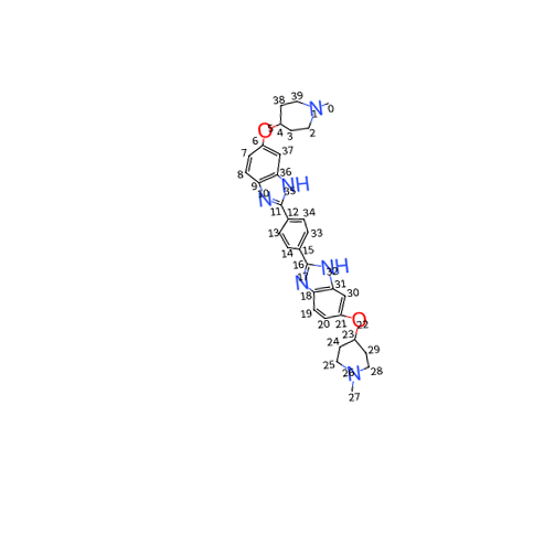 CN1CCC(Oc2ccc3nc(-c4ccc(-c5nc6ccc(OC7CCN(C)CC7)cc6[nH]5)cc4)[nH]c3c2)CC1